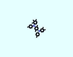 Cc1ccc(N(c2ccc(C)c(C)c2)c2cc(C)c(N(c3ccc(C)cc3)c3ccc(C)c(C)c3C)cc2C)cc1